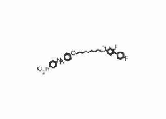 O=[N+]([O-])c1ccc(N=Nc2ccc(OCCCCCCCCCOc3ccc(-c4ccc(F)cc4)c(F)c3)cc2)cc1